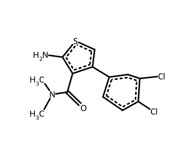 CN(C)C(=O)c1c(-c2ccc(Cl)c(Cl)c2)csc1N